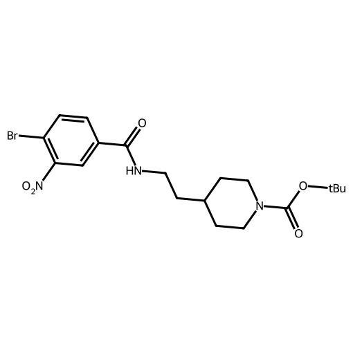 CC(C)(C)OC(=O)N1CCC(CCNC(=O)c2ccc(Br)c([N+](=O)[O-])c2)CC1